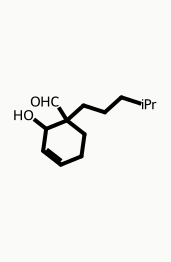 CC(C)CCCC1(C=O)CCC=CC1O